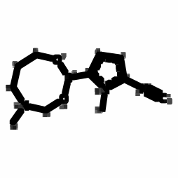 [C-]#[N+]c1ccc(B2OCCCN(C)CO2)n1C